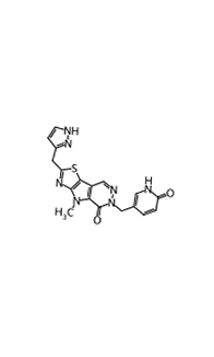 Cn1c2nc(Cc3cc[nH]n3)sc2c2cnn(Cc3ccc(=O)[nH]c3)c(=O)c21